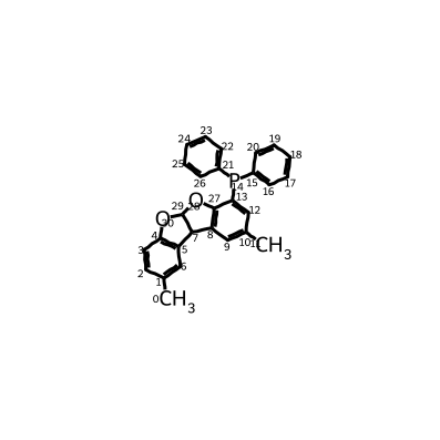 Cc1ccc2c(c1)C1c3cc(C)cc(P(c4ccccc4)c4ccccc4)c3OC1O2